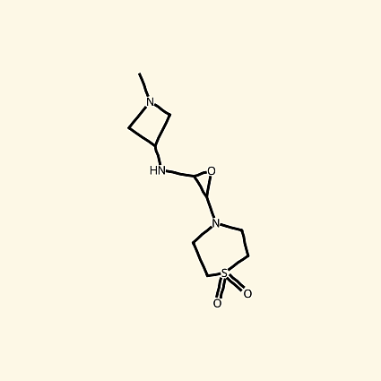 CN1CC(NC2OC2N2CCS(=O)(=O)CC2)C1